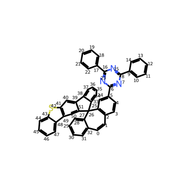 C1=Cc2ccc(-c3nc(-c4ccccc4)nc(-c4ccccc4)n3)cc2C2(c3ccccc31)c1ccccc1-c1cc3sc4ccccc4c3cc12